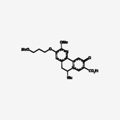 CCOC(=O)c1cn2c(cc1=O)-c1nc(OC)c(OCCCOC)cc1CC2C(C)(C)C